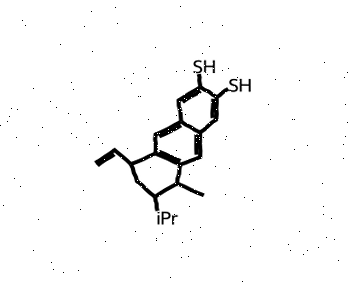 C=CC1CC(C(C)C)C(C)c2cc3cc(S)c(S)cc3cc21